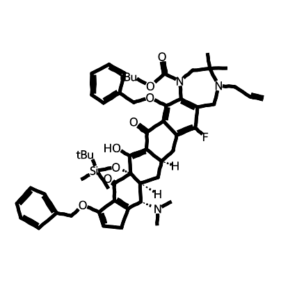 C=CCN1Cc2c(F)c3c(c(OCc4ccccc4)c2N(C(=O)OC(C)(C)C)CC1(C)C)C(=O)C1=C(O)[C@]2(O[Si](C)(C)C(C)(C)C)C(=O)C4=C(CC=C4OCc4ccccc4)[C@@H](N(C)C)[C@@H]2C[C@@H]1C3